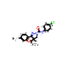 COC(=O)C1(C)CN(C(=O)Nc2ccc(Cl)cc2)N=C1c1ccc(C(F)(F)F)cc1